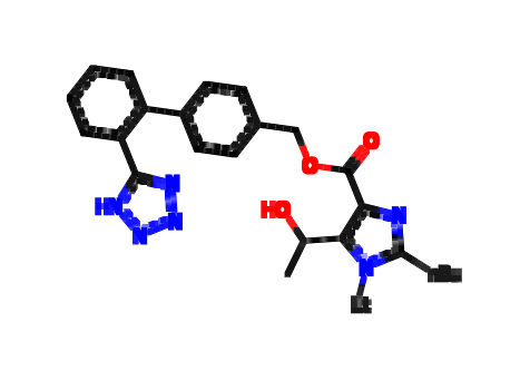 CCCCc1nc(C(=O)OCc2ccc(-c3ccccc3-c3nnn[nH]3)cc2)c(C(C)O)n1CC